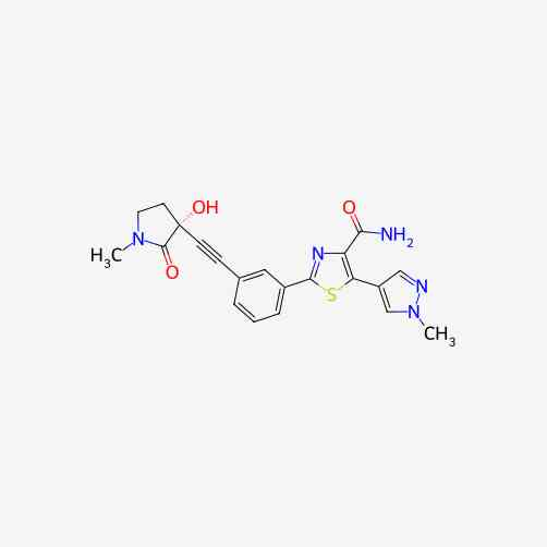 CN1CC[C@@](O)(C#Cc2cccc(-c3nc(C(N)=O)c(-c4cnn(C)c4)s3)c2)C1=O